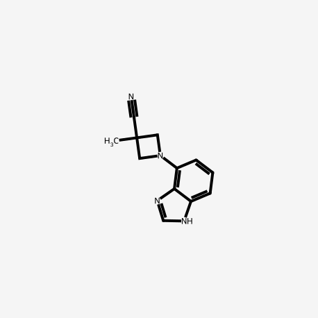 CC1(C#N)CN(c2cccc3[nH]cnc23)C1